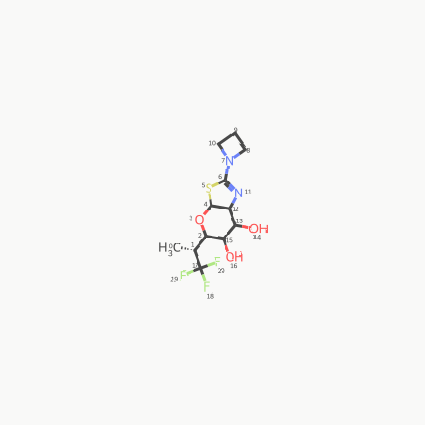 C[C@H](C1OC2SC(N3CCC3)=NC2C(O)C1O)C(F)(F)F